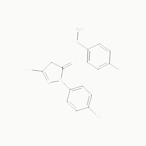 CC1=NN(c2ccc(Br)cc2)C(=O)C1.NNc1ccc(Br)cc1